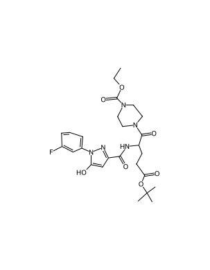 CCOC(=O)N1CCN(C(=O)C(CCC(=O)OC(C)(C)C)NC(=O)c2cc(O)n(-c3cccc(F)c3)n2)CC1